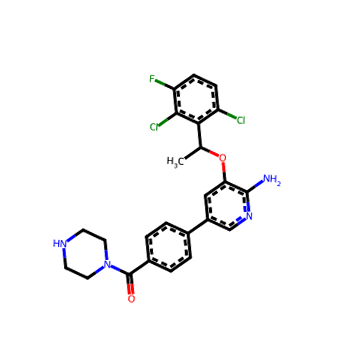 CC(Oc1cc(-c2ccc(C(=O)N3CCNCC3)cc2)cnc1N)c1c(Cl)ccc(F)c1Cl